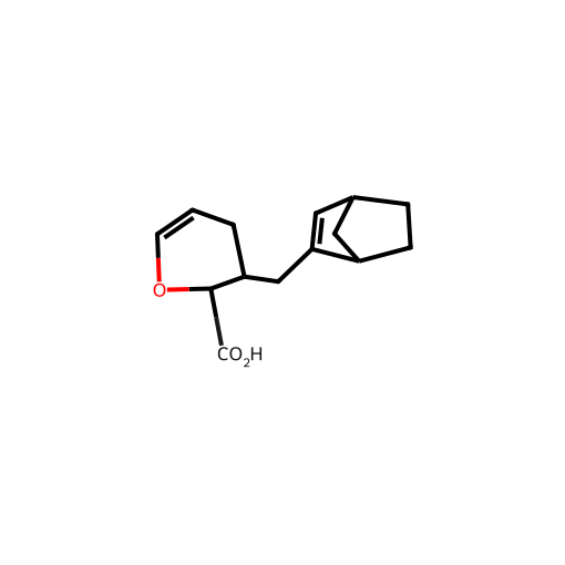 O=C(O)C1OC=CCC1CC1=CC2CCC1C2